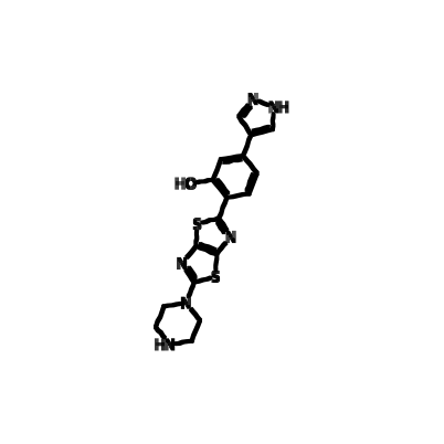 Oc1cc(-c2cn[nH]c2)ccc1-c1nc2sc(N3CCNCC3)nc2s1